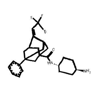 N[C@H]1CC[C@H](NC(=O)C23CC4CC(c5ccccc5)(CC(C2)C4=CC(F)(F)F)C3)CC1